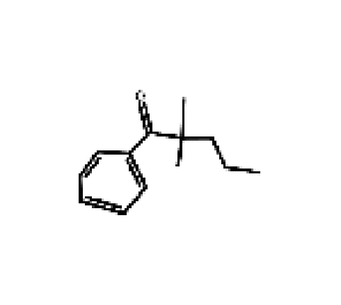 CCCC(C)(C)C(=O)c1ccccc1